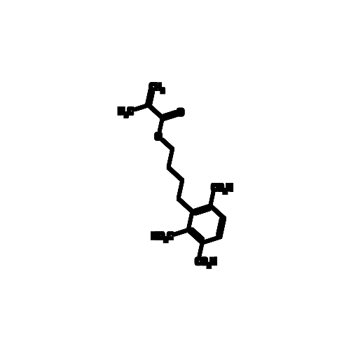 C=C(C)C(=O)OCCCCc1c(C(=O)O)ccc(C(=O)O)c1C(=O)O